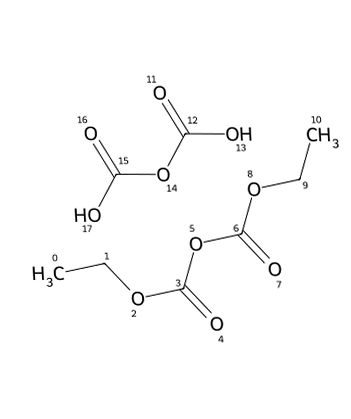 CCOC(=O)OC(=O)OCC.O=C(O)OC(=O)O